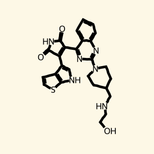 O=C1NC(=O)C(c2c[nH]c3sccc23)=C1c1nc(N2CCC(CNCCO)CC2)nc2ccccc12